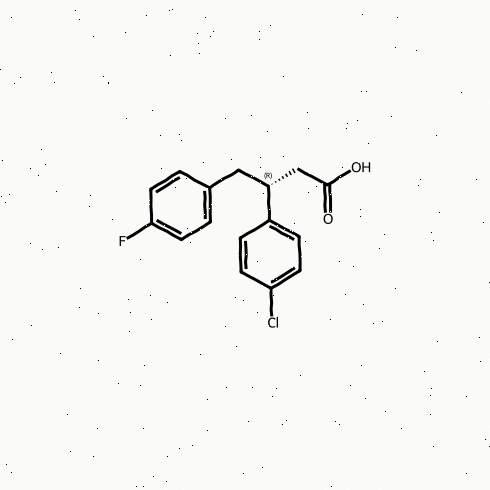 O=C(O)C[C@@H](Cc1ccc(F)cc1)c1ccc(Cl)cc1